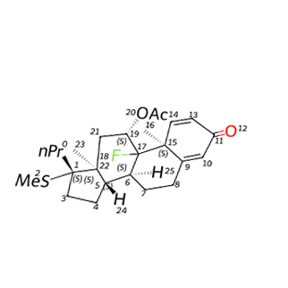 CCC[C@]1(SC)CC[C@H]2[C@@H]3CCC4=CC(=O)C=C[C@]4(C)C3(F)[C@@H](OC(C)=O)C[C@@]21C